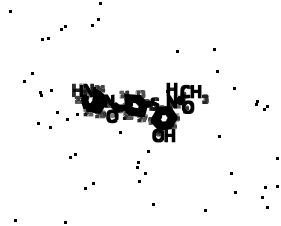 CC(=O)Nc1ccc(O)cc1Sc1ccc(C(=O)NC2CC3CNC2C3)cc1